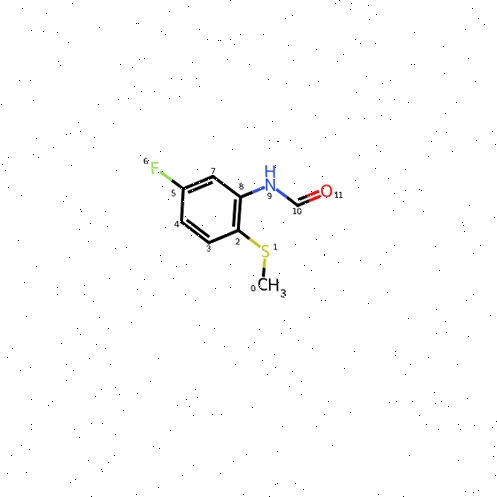 CSc1ccc(F)cc1NC=O